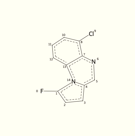 Fc1ccc2cnc3c(Cl)cccc3n12